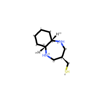 SC[C@@H]1CN[C@H]2CCCC[C@H]2NC1